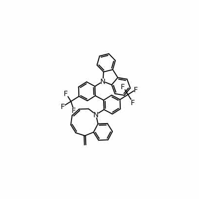 C=C1/C=C\C=C/CN(c2ccc(C(F)(F)F)cc2-c2cc(C(F)(F)F)ccc2-n2c3ccccc3c3ccccc32)c2ccccc21